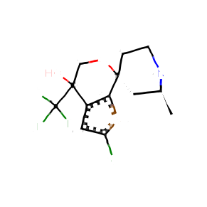 C[C@H]1C[C@@]2(CCN1)OCC(O)(C(F)(F)F)c1cc(Cl)sc12